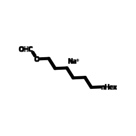 CCCCCCCCCCCCO[C-]=O.[Na+]